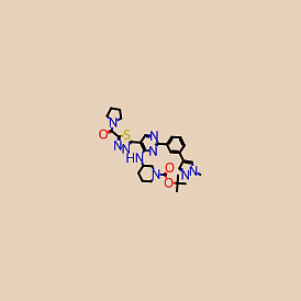 Cn1cc(-c2cccc(-c3ncc(-c4nnc(C(=O)N5CCCC5)s4)c(NC4CCCN(C(=O)OC(C)(C)C)C4)n3)c2)cn1